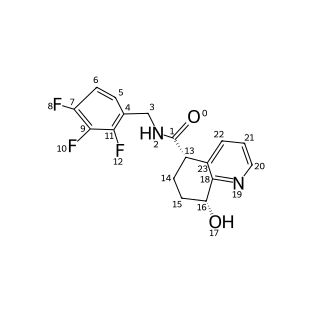 O=C(NCc1ccc(F)c(F)c1F)[C@H]1CC[C@@H](O)c2ncccc21